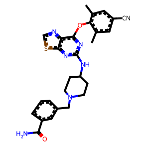 Cc1cc(C#N)cc(C)c1Oc1nc(NC2CCN(Cc3cccc(C(N)=O)c3)CC2)nc2scnc12